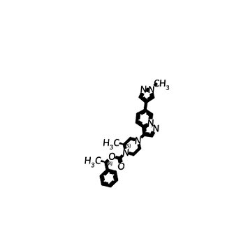 C[C@@H](OC(=O)N1CCN(c2cnn3cc(-c4cnn(C)c4)ccc23)C[C@@H]1C)c1ccccc1